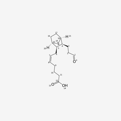 O=CCC[C@H]1[C@@H](C/C=C\CCCC(=O)O)[C@H]2CC[C@@H]1S2